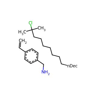 C=Cc1ccc(CN)cc1.CCCCCCCCCCCCCCCCCC(C)(C)Cl